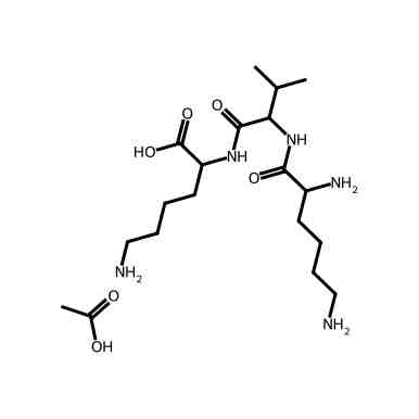 CC(=O)O.CC(C)C(NC(=O)C(N)CCCCN)C(=O)NC(CCCCN)C(=O)O